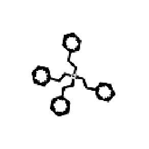 c1ccc(CC[Si](CCc2ccccc2)(CCc2ccccc2)CCc2ccccc2)cc1